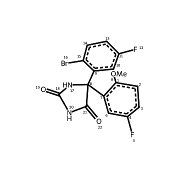 COc1ccc(F)cc1C1(c2cc(F)ccc2Br)NC(=O)NC1=O